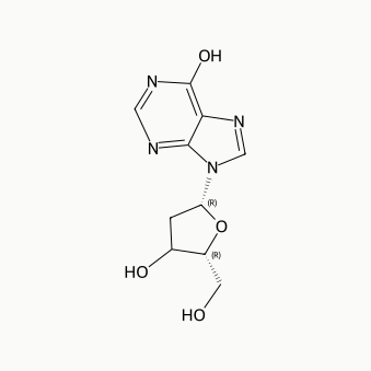 OC[C@H]1O[C@@H](n2cnc3c(O)ncnc32)CC1O